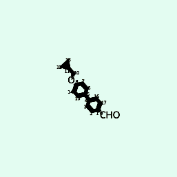 O=Cc1ccc(-c2ccc(OCC3CC3)cc2)cc1